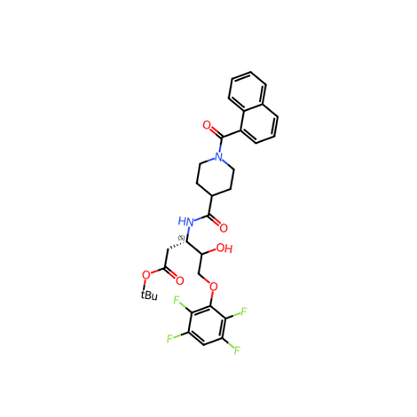 CC(C)(C)OC(=O)C[C@H](NC(=O)C1CCN(C(=O)c2cccc3ccccc23)CC1)C(O)COc1c(F)c(F)cc(F)c1F